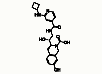 O=C(NC[C@@H](O)[C@@H]1Cc2ccc(O)cc2CN1C(=O)O)c1ccnc(NC2CCC2)c1